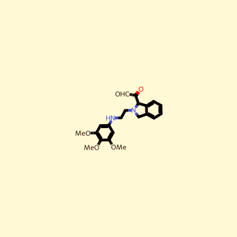 COc1cc(NCCN2Cc3ccccc3C2C(=O)C=O)cc(OC)c1OC